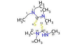 CCN(CC)C(=S)N(C)C.CNC(=S)N(C)C